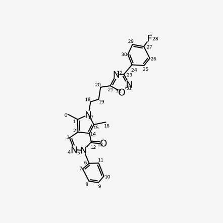 Cc1c2cnn(-c3ccccc3)c(=O)c2c(C)n1CCCc1nc(-c2ccc(F)cc2)no1